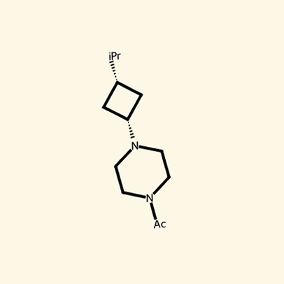 CC(=O)N1CCN([C@H]2C[C@@H](C(C)C)C2)CC1